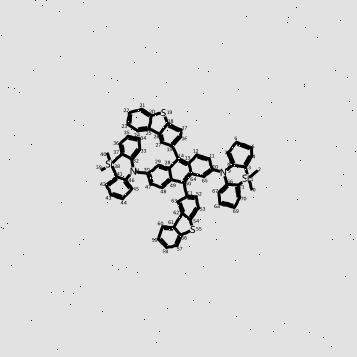 C[Si]1(C)c2ccccc2N(c2ccc3c(-c4ccc5sc6ccccc6c5c4)c4cc(N5c6ccccc6[Si](C)(C)c6ccccc65)ccc4c(-c4ccc5sc6ccccc6c5c4)c3c2)c2ccccc21